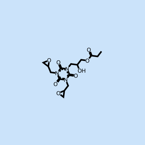 CCC(=O)OCC(O)Cn1c(=O)n(CC2CO2)c(=O)n(CC2CO2)c1=O